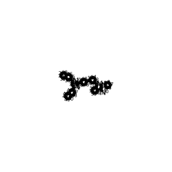 C=Nc1c(N2C=CC=CC2)nc(-c2cccc(-c3ccc(-c4nc(-c5ccc6ccccc6c5)cc(-c5ccc6ccccc6c5)n4)cc3)c2)c2ccccc12